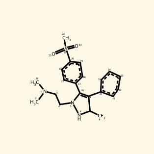 CN(C)CCN1NC(C(F)(F)F)C(c2ccccc2)=C1c1ccc(S(C)(=O)=O)cc1